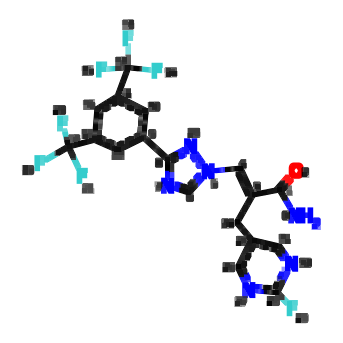 NC(=O)/C(=C/n1cnc(-c2cc(C(F)(F)F)cc(C(F)(F)F)c2)n1)Cc1cnc(F)nc1